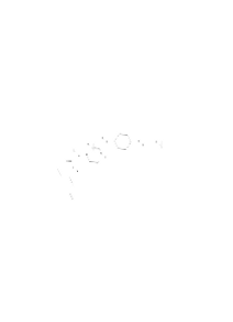 C=C(C)/C(=C(C)\C=C/C)N1Cc2cnc(Nc3ccc(N4CCN(C)CC4)cc3)nc2N(C)C1=O